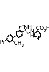 Cc1cc(C(C)C)ccc1-c1ccc2c(c1)CCN[C@H]2CNc1cnccc1C(=O)O